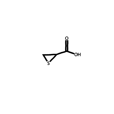 O=C(O)C1CS1